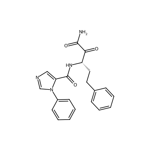 NC(=O)C(=O)[C@H](CCc1ccccc1)NC(=O)c1cncn1-c1ccccc1